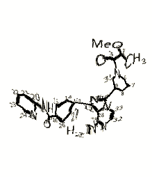 COC(C)C(=O)N1CCCC(c2nc(-c3ccc(C(=O)Nc4ccccn4)cc3)c3c(N)nccn23)C1